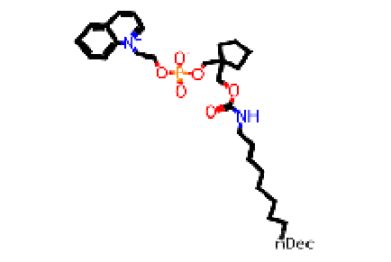 CCCCCCCCCCCCCCCCCCNC(=O)OCC1(COP(=O)([O-])OCC[n+]2cccc3ccccc32)CCCC1